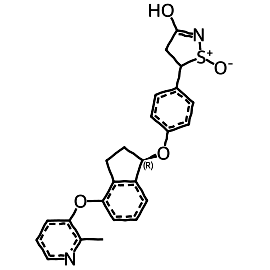 Cc1ncccc1Oc1cccc2c1CC[C@H]2Oc1ccc(C2CC(O)=N[S+]2[O-])cc1